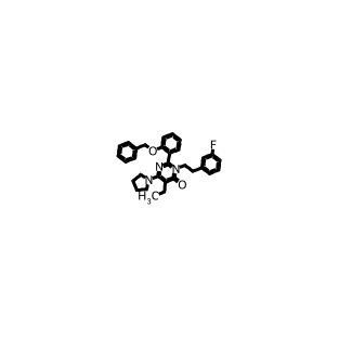 CCc1c(N2CCCC2)nc(-c2ccccc2OCc2ccccc2)n(CCc2cccc(F)c2)c1=O